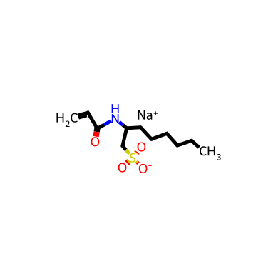 C=CC(=O)NC(CCCCCC)CS(=O)(=O)[O-].[Na+]